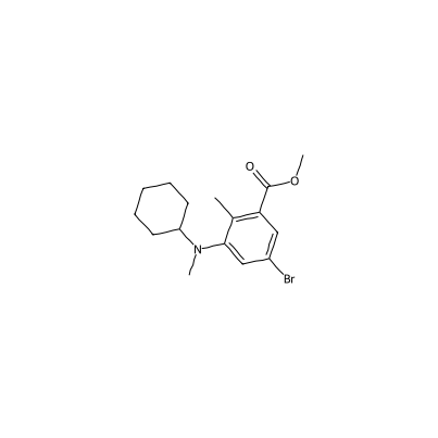 COC(=O)c1cc(Br)cc(N(C)C2CCCCC2)c1C